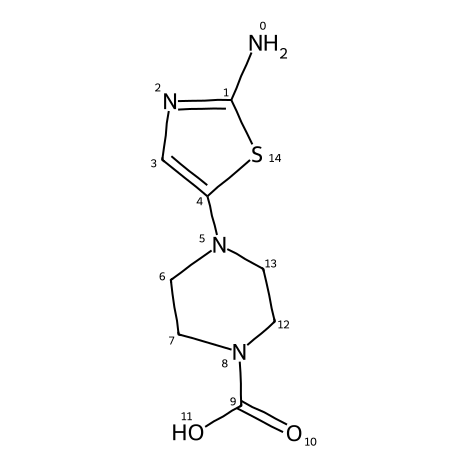 Nc1ncc(N2CCN(C(=O)O)CC2)s1